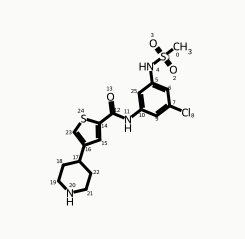 CS(=O)(=O)Nc1cc(Cl)cc(NC(=O)c2cc(C3CCNCC3)cs2)c1